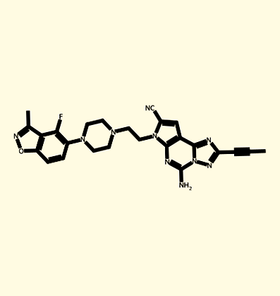 CC#Cc1nc2c3cc(C#N)n(CCN4CCN(c5ccc6onc(C)c6c5F)CC4)c3nc(N)n2n1